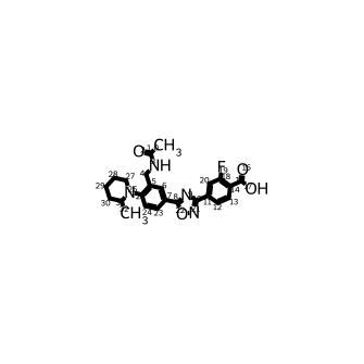 CC(=O)NCc1cc(-c2nc(-c3ccc(C(=O)O)c(F)c3)no2)ccc1N1CCCCC1C